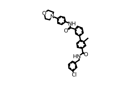 Cc1cc(C(=O)NCc2cccc(Cl)c2)ccc1-c1cccc(C(=O)Nc2ccc(N3CCOCC3)cc2)c1